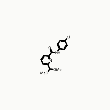 COC(OC)c1cccc(C(=O)Nc2ccc(Cl)cc2)n1